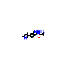 Cc1cc(C)c(-c2ccc3c(c2)=CNC(N(N)C(=O)C2CC2)C=3)cn1